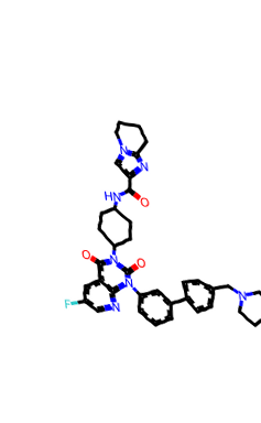 O=C(NC1CCC(n2c(=O)c3cc(F)cnc3n(-c3cccc(-c4ccc(CN5CCCCC5)cc4)c3)c2=O)CC1)c1cn2c(n1)CCCC2